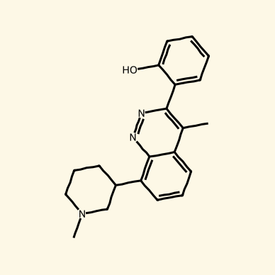 Cc1c(-c2ccccc2O)nnc2c(C3CCCN(C)C3)cccc12